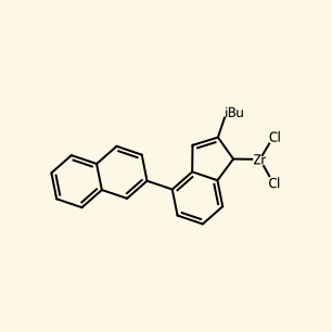 CCC(C)C1=Cc2c(-c3ccc4ccccc4c3)cccc2[CH]1[Zr]([Cl])[Cl]